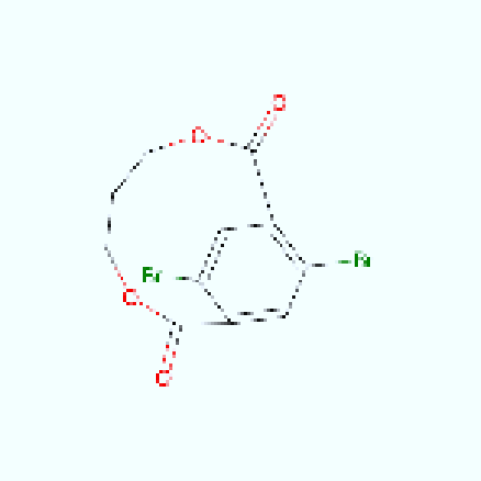 O=C1OCCCOC(=O)c2cc(Br)c1cc2Br